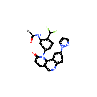 CCC(=O)Nc1cc(-n2c(=O)ccc3cnc4ccc(-n5cccn5)cc4c32)ccc1C(F)F